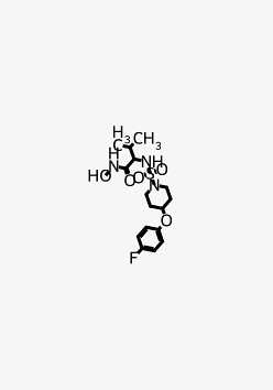 CC(C)C(NS(=O)(=O)N1CCC(Oc2ccc(F)cc2)CC1)C(=O)NO